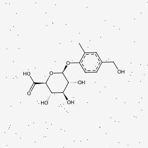 Cc1cc(CO)ccc1O[C@@H]1O[C@H](C(=O)O)[C@@H](O)[C@H](O)[C@H]1O